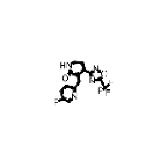 O=c1[nH]ccc(-c2noc(C(F)(F)F)n2)c1Cc1ccc(F)cn1